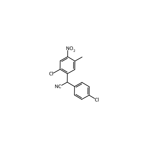 Cc1cc(C(C#N)c2ccc(Cl)cc2)c(Cl)cc1[N+](=O)[O-]